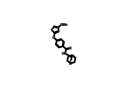 COc1csc(Oc2ccc(C(=O)NC3CN4CCC3CC4)cc2)c1